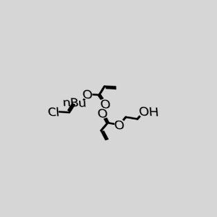 C=CC(=O)OCCCC.C=CC(=O)OCCO.C=CCl